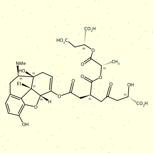 CC[C@]12c3c4ccc(O)c3O[C@H]1C(OC(=O)C[C@H](CC(=O)C[C@H](O)C(=O)O)C(=O)O[C@@H](C)C(=O)O[C@H](CC(=O)O)C(=O)O)=CC[C@@]2(O)[C@H](NC)C4